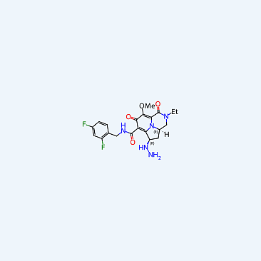 CCN1C[C@H]2C[C@@H](NN)c3c(C(=O)NCc4ccc(F)cc4F)c(=O)c(OC)c(n32)C1=O